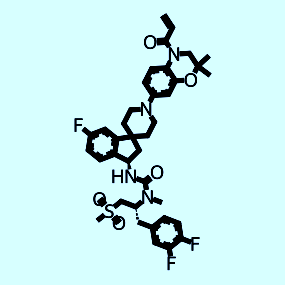 C=CC(=O)N1CC(C)(C)Oc2cc(N3CCC4(CC3)C[C@@H](NC(=O)N(C)[C@H](Cc3ccc(F)c(F)c3)CS(C)(=O)=O)c3ccc(F)cc34)ccc21